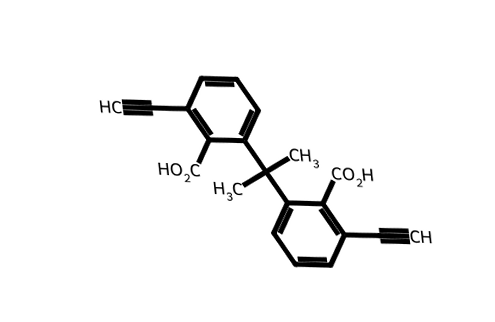 C#Cc1cccc(C(C)(C)c2cccc(C#C)c2C(=O)O)c1C(=O)O